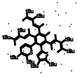 C/C(=C(\C=C(/C)c1c(C)c(/C(C)=C(C)/C(=C(\C)C(C)(C)C)C(C)(C)C)c(-c2cc(C(C)(C)C)c(C(C)(C)C)s2)c(C2=C=CC(C(C)(C)C)=C(C(C)(C)C)S2)c1/C(C)=C/C(=C(\C)C(C)(C)C)C(C)(C)C)C(C)(C)C)C(C)(C)C